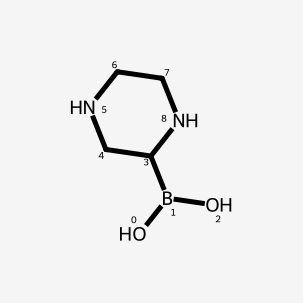 OB(O)C1CNCCN1